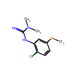 CN(C)C(=N)Nc1cc(SC(F)(F)F)ccc1Cl